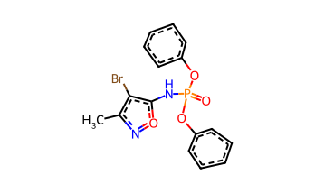 Cc1noc(NP(=O)(Oc2ccccc2)Oc2ccccc2)c1Br